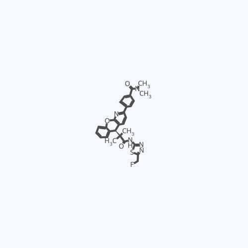 CN(C)C(=O)c1ccc(-c2ccc3c(n2)Oc2ccccc2[C@@H]3C(C)(C)C(=O)Nc2nnc(CF)s2)cc1